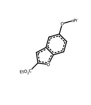 CCCOc1ccc2oc(C(=O)OCC)cc2c1